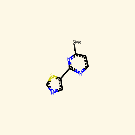 CSc1ccnc(-c2cncs2)n1